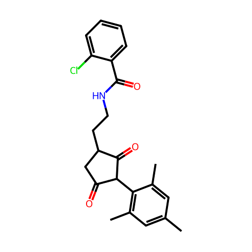 Cc1cc(C)c(C2C(=O)CC(CCNC(=O)c3ccccc3Cl)C2=O)c(C)c1